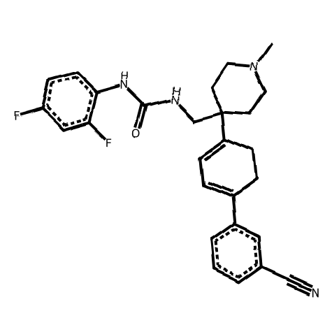 CN1CCC(CNC(=O)Nc2ccc(F)cc2F)(C2=CC=C(c3cccc(C#N)c3)CC2)CC1